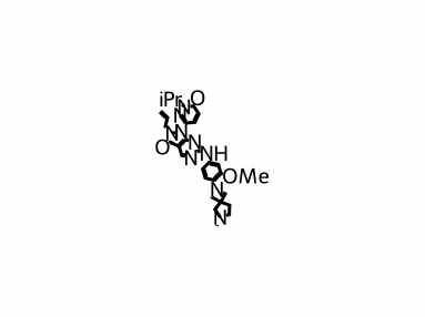 C=CCn1c(=O)c2cnc(Nc3ccc(N4CC5(CCN(C)C5)C4)c(OC)c3)nc2n1-c1ccc(=O)n(C(C)C)n1